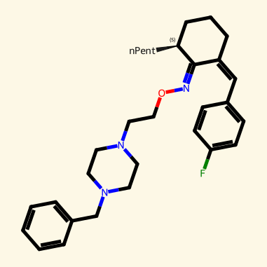 CCCCC[C@H]1CCCC(=Cc2ccc(F)cc2)C1=NOCCN1CCN(Cc2ccccc2)CC1